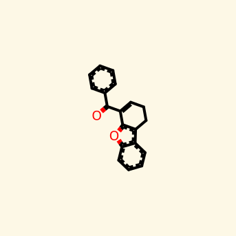 O=C(C1=CCCc2c1oc1ccccc21)c1ccccc1